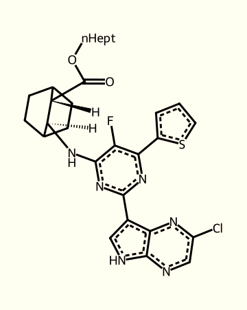 CCCCCCCOC(=O)[C@H]1C2CCC(CC2)[C@@H]1Nc1nc(-c2c[nH]c3ncc(Cl)nc23)nc(-c2cccs2)c1F